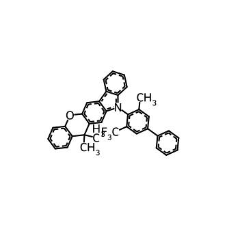 Cc1cc(-c2ccccc2)cc(C(F)(F)F)c1-n1c2ccccc2c2cc3c(cc21)C(C)(C)c1ccccc1O3